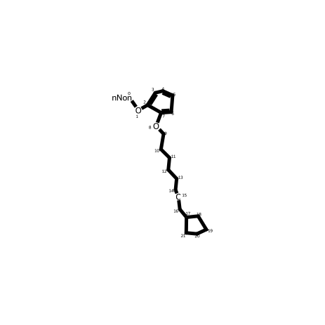 CCCCCCCCCOc1cc[c]cc1OCCCCCCCCC1CCCC1